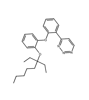 CCCCCC(CC)(CC)Oc1ccccc1Oc1ccccc1-c1ccnnn1